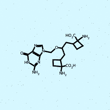 Nc1nc2c(ncn2COC(CC2CCC2(N)C(=O)O)CC2CCC2(N)C(=O)O)c(=O)[nH]1